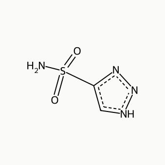 NS(=O)(=O)c1c[nH]nn1